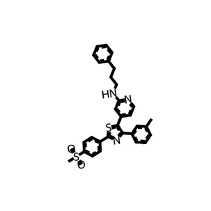 Cc1cccc(-c2nc(-c3ccc(S(C)(=O)=O)cc3)sc2-c2ccnc(NCCCc3ccccc3)c2)c1